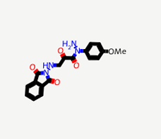 COc1ccc(N(N)C(=O)C(=O)CNN2C(=O)c3ccccc3C2=O)cc1